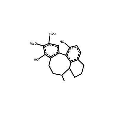 COc1cc2c(c(O)c1OC)CCC(C)C1CCCc3ccc(O)c-2c31